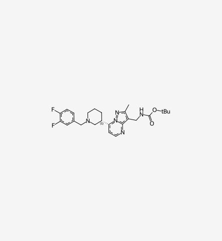 Cc1nn2c([C@H]3CCCN(Cc4ccc(F)c(F)c4)C3)ccnc2c1CNC(=O)OC(C)(C)C